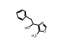 Cc1ocnc1C(O)Cc1ccccc1